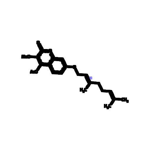 COc1c(OC(C)=O)c2ccc(OC/C=C(\C)CCC=C(C)C)cc2oc1=O